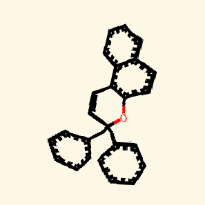 C1=CC(c2ccccc2)(c2ccccc2)Oc2ccc3ccccc3c21